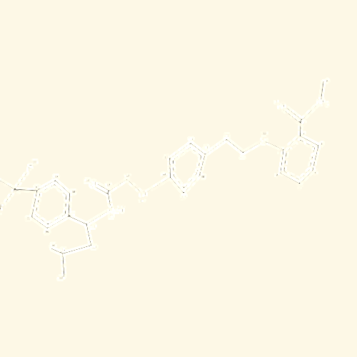 COC(=O)c1ccccc1OCCc1ccc(OCC(=O)[AsH]C(CC(C)C)c2ccc(C(F)(F)F)cc2)cc1